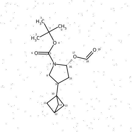 CC(C)(C)OC(=O)N1CC(C23CC(C2)C3)C[C@H]1OC=O